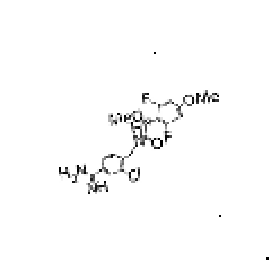 COc1cc(F)c([C@H](OC)C(=O)NCc2ccc(C(=N)N)cc2Cl)c(F)c1